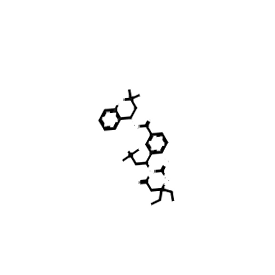 CCC1(CC)CC(=O)N(C(CC(C)(C)O)c2cccc(C(=O)N[C@H]3CC(C)(C)Oc4ccccc43)c2)C(=N)N1